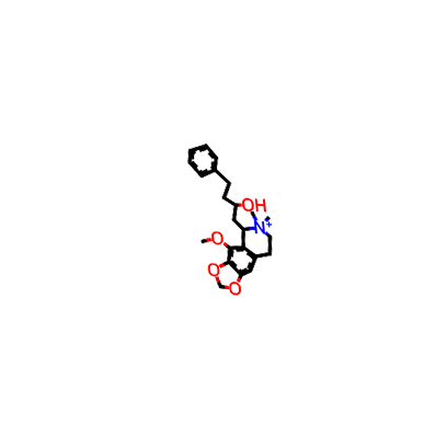 COc1c2c(cc3c1C(CC(O)CCc1ccccc1)[N+](C)(C)CC3)OCO2